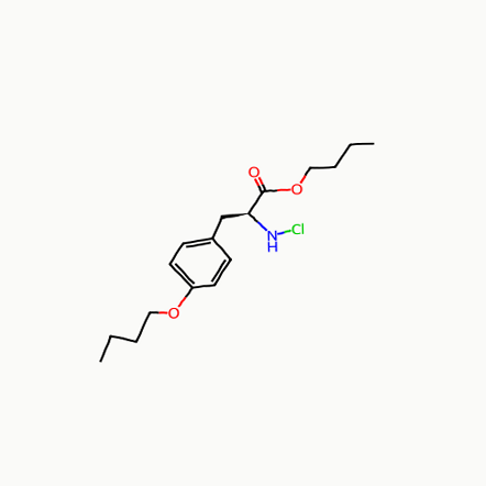 CCCCOC(=O)[C@H](Cc1ccc(OCCCC)cc1)NCl